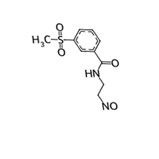 CS(=O)(=O)c1cccc(C(=O)NCCN=O)c1